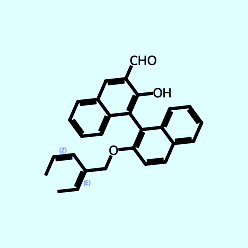 C/C=C\C(=C/C)COc1ccc2ccccc2c1-c1c(O)c(C=O)cc2ccccc12